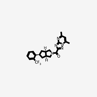 Cc1cc(C)n2nc(C(=O)N3C[C@H]4C[C@@H](c5ccccc5C(F)(F)F)C[C@H]4C3)nc2n1